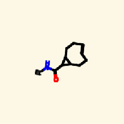 CCNC(=O)C1C2CC/C=C/CCC21